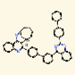 C1=CC2=Nc3c(c(-c4ccc(-c5cccc(-c6nc(-c7ccc(-c8ccccc8)cc7)nc7ccccc67)c5)cc4)nc4ccccc34)[C@H](C=C1)C2